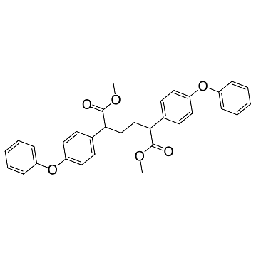 COC(=O)C(CCC(C(=O)OC)c1ccc(Oc2ccccc2)cc1)c1ccc(Oc2ccccc2)cc1